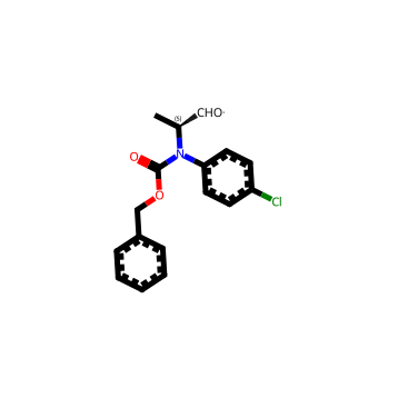 C[C@@H]([C]=O)N(C(=O)OCc1ccccc1)c1ccc(Cl)cc1